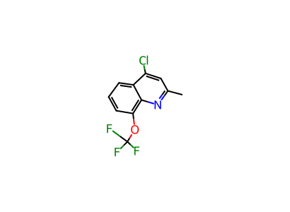 Cc1cc(Cl)c2cccc(OC(F)(F)F)c2n1